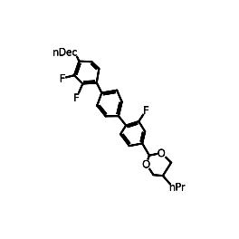 CCCCCCCCCCc1ccc(-c2ccc(-c3ccc(C4OCC(CCC)CO4)cc3F)cc2)c(F)c1F